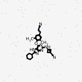 Cc1cc(/C=C/C#N)cc(C)c1Oc1nc(NC23CC(C#N)(C2)C3)nc2nc(C3CCCCC3)[nH]c12